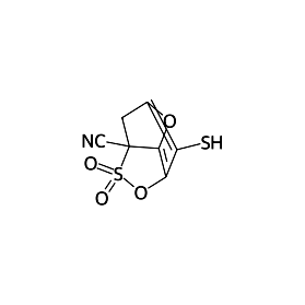 N#CC12Cc3oc1c(c3S)OS2(=O)=O